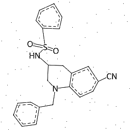 N#Cc1ccc2c(c1)CC(NS(=O)(=O)c1ccccc1)CN2Cc1ccccc1